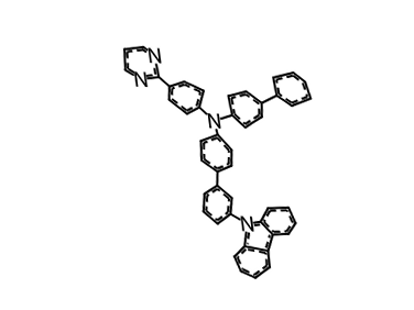 c1ccc(-c2ccc(N(c3ccc(-c4cccc(-n5c6ccccc6c6ccccc65)c4)cc3)c3ccc(-c4ncccn4)cc3)cc2)cc1